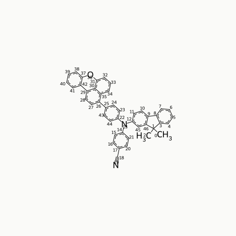 CC1(C)c2ccccc2-c2ccc(N(c3ccc(C#N)cc3)c3ccc(-c4ccc5c6c(cccc46)Oc4ccccc4-5)cc3)cc21